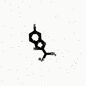 CC(C)c1nc2cc(F)ccc2[nH]1